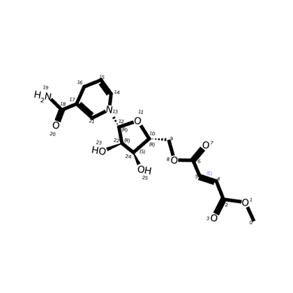 COC(=O)/C=C/C(=O)OC[C@H]1O[C@@H](N2C=CCC(C(N)=O)=C2)[C@H](O)[C@@H]1O